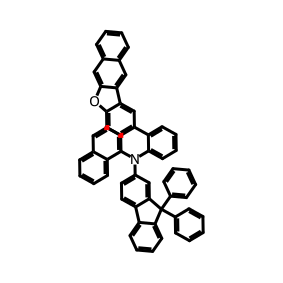 c1ccc(C2(c3ccccc3)c3ccccc3-c3ccc(N(c4ccccc4-c4ccc5oc6cc7ccccc7cc6c5c4)c4cccc5ccccc45)cc32)cc1